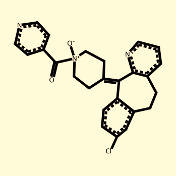 O=C(c1ccncc1)[N+]1([O-])CCC(=C2c3ccc(Cl)cc3CCc3cccnc32)CC1